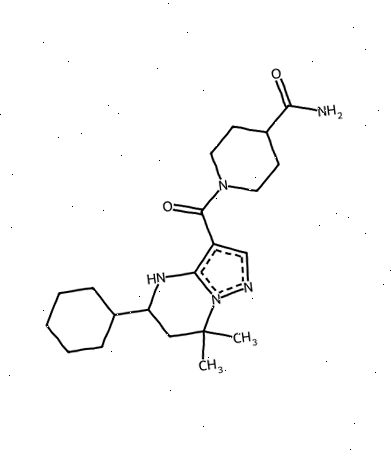 CC1(C)CC(C2CCCCC2)Nc2c(C(=O)N3CCC(C(N)=O)CC3)cnn21